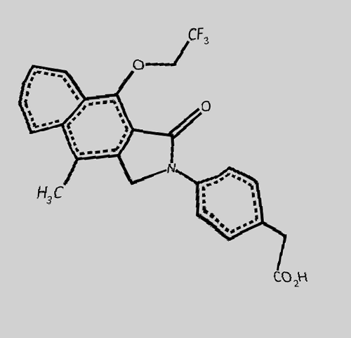 Cc1c2c(c(OCC(F)(F)F)c3ccccc13)C(=O)N(c1ccc(CC(=O)O)cc1)C2